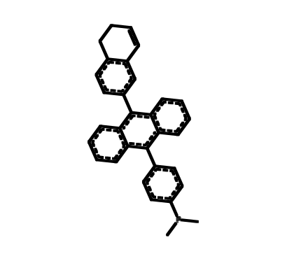 CP(C)c1ccc(-c2c3ccccc3c(-c3ccc4c(c3)C=CCC4)c3ccccc23)cc1